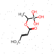 CC(OC(=O)C=CC(=O)O)[Si](O)(O)O